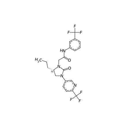 CCC[C@H]1CN(c2ccc(C(F)(F)F)nc2)C(=O)N1CC(=O)Nc1cccc(C(F)(F)F)c1